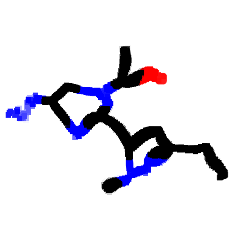 CCc1cc(C2=NC(N)CN2C(C)=O)n(C)n1